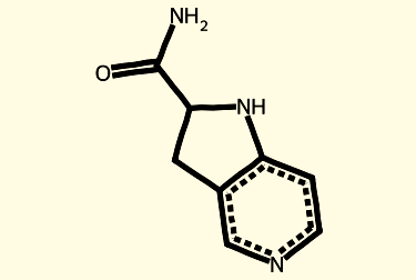 NC(=O)C1Cc2cnccc2N1